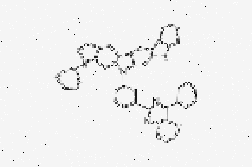 c1ccc(-c2nc(-c3cccc(-n4c5cc6sc7ccccc7c6cc5c5cc6ccn(-c7ccccc7)c6cc54)c3)nc3ccccc23)cc1